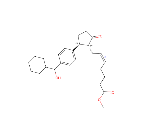 COC(=O)CCC/C=C\C[C@H]1C(=O)CC[C@@H]1c1ccc(C(O)C2CCCCC2)cc1